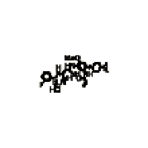 C=CC(=O)Nc1cc(NC(=N)/C=C(\NN)N[C@H](CCO)c2cccc(F)c2)c(OC)cc1N1CCC(N(C)C)CC1